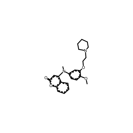 COc1ccc(N(C)c2cc(=O)oc3ccccc23)cc1OCCN1CCCCC1